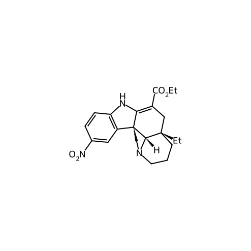 CCOC(=O)C1=C2Nc3ccc([N+](=O)[O-])cc3[C@]23CCN2CCC[C@@](CC)(C1)[C@H]23